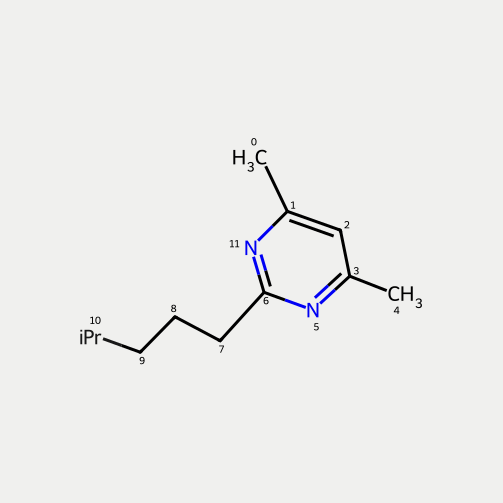 Cc1cc(C)nc(CCCC(C)C)n1